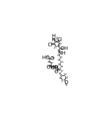 COc1ccc(CCC(CCCCCCNCC(O)c2cc(Cl)c(N)c(Cl)c2)C(=O)O)cc1.O=C(O)C=CC(=O)O